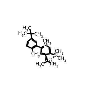 Cc1ccc(C(C)(C)C)cc1-c1cc(C(C)C)c([Si](C)(C)C)c[n+]1C